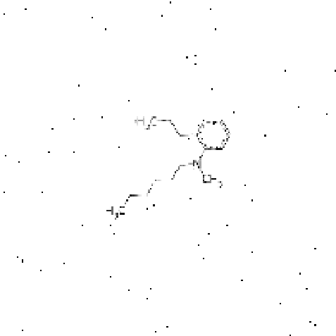 [CH2]CCc1ccccc1N(C)CCCCCC